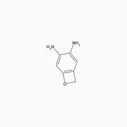 Nc1cc2c(cc1N)OC2